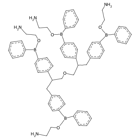 NCCOB(c1ccccc1)c1ccc(CC(COCC(Cc2ccc(B(OCCN)c3ccccc3)cc2)c2ccc(B(OCCN)c3ccccc3)cc2)c2ccc(B(OCCN)c3ccccc3)cc2)cc1